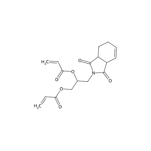 C=CC(=O)OCC(CN1C(=O)C2C=CCCC2C1=O)OC(=O)C=C